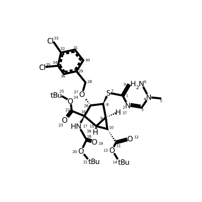 C=C(/N=C\N(C)N)S[C@H]1[C@H]2[C@H](C(=O)OC(C)(C)C)[C@H]2[C@](NC(=O)OC(C)(C)C)(C(=O)OC(C)(C)C)[C@@H]1OCc1ccc(Cl)c(Cl)c1